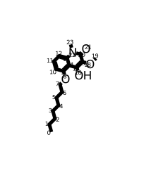 CCCCCCCCOc1cccc2c1c(O)c(OC)c(=O)n2C